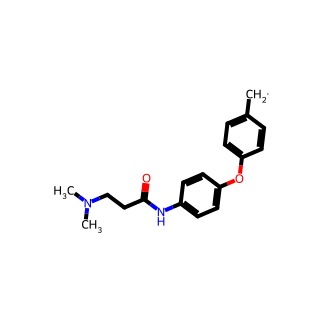 [CH2]c1ccc(Oc2ccc(NC(=O)CCN(C)C)cc2)cc1